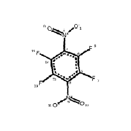 O=[N+]([O-])c1c(F)c(F)c([N+](=O)[O-])c(F)c1F